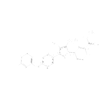 CCOC(=O)c1c(C#N)c(-c2ccc(OC3=CCCC=C3)cc2)cn1C1CCCN(C(=O)OC(C)(C)C)C1